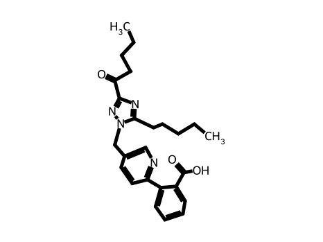 CCCCCc1nc(C(=O)CCCC)nn1Cc1ccc(-c2ccccc2C(=O)O)nc1